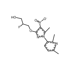 Cc1ccc(-n2nc(OCC(F)CO)c([N+](=O)[O-])c2C)c(C)n1